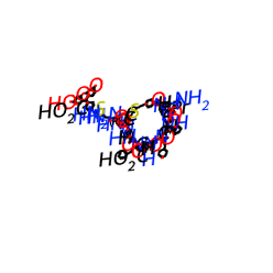 CC(C)C[C@H]1CN(C(=O)CCCN)CC(=O)N[C@@H](Cc2ccccc2)CN(C(=O)CCC2CCCCC2)CC(=O)N[C@@H](CCC(=O)O)CN(C(=O)CCc2ccccc2)CC(=O)N[C@@H](C)CN(CC(=O)N[C@H](CCCCNC(=S)Nc2ccc(-c3c4ccc(=O)cc-4oc4cc(O)ccc34)c(C(=O)O)c2)C(N)=O)C(=O)CCSCc2ccc(cc2)C(=O)N1